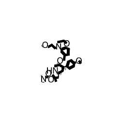 COCCCN1CCOc2ccc(CO[C@H]3CN[C@H](CC(C)(C)OC(=O)N(C)C)C[C@@H]3c3ccc(OC)cc3)cc21